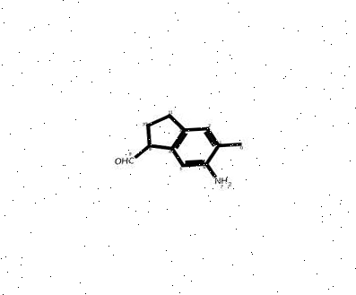 Cc1cc2c(cc1N)C(C=O)CC2